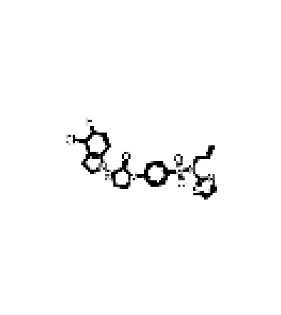 C=CCN(c1nccs1)S(=O)(=O)c1ccc(N2CC[C@H](N3CCC4=C3C=CC(F)C4Cl)C2=O)cc1